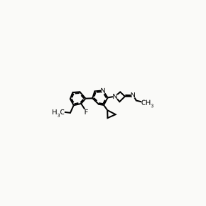 CCN=C1CN(c2ncc(-c3cccc(CC)c3F)cc2C2CC2)C1